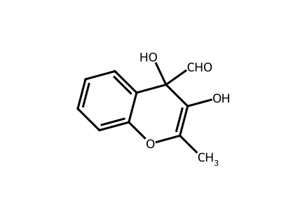 CC1=C(O)C(O)(C=O)c2ccccc2O1